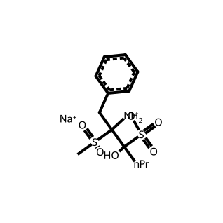 CCCC(O)(C(N)(Cc1ccccc1)S(C)(=O)=O)S(=O)(=O)[O-].[Na+]